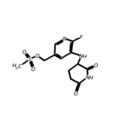 CS(=O)(=O)OCc1cnc(F)c(NC2CCC(=O)NC2=O)c1